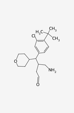 CC(C)(C)c1ccc(C(C(CN)CC=O)C2CCOCC2)cc1Cl